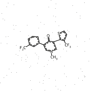 Cn1cc(-c2cccc(C(F)(F)F)c2)c(=O)c(-c2sccc2C(F)(F)F)c1